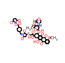 COc1cccc2c1C(=O)c1c(O)c3c(c(O)c1C2=O)C[C@@](O)(C(=O)CSC1CC(=O)N(CC2CCC(C(=O)ON4C(=O)CCC4=O)CC2)C1=O)C[C@@H]3O[C@H]1C[C@H]2[C@H](O[C@@H]3COCCN32)[C@H](C)O1